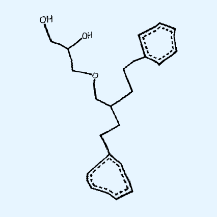 OCC(O)COCC(CCc1ccccc1)CCc1ccccc1